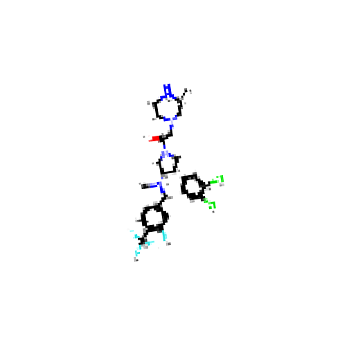 C[C@H]1CN(CC(=O)N2C[C@H](c3ccc(Cl)c(Cl)c3)[C@H](N(C)Cc3ccc(C(F)(F)F)c(F)c3)C2)CCN1